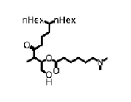 CCCCCCC(CCCCCC)CCCC(=O)C(C)C(CO)OC(=O)CCCCCN(C)C